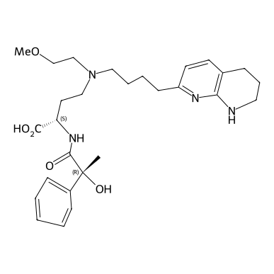 COCCN(CCCCc1ccc2c(n1)NCCC2)CC[C@H](NC(=O)[C@](C)(O)c1ccccc1)C(=O)O